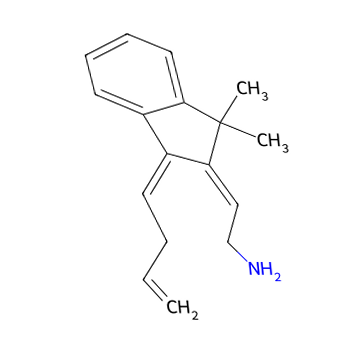 C=CC/C=C1\C(=C/CN)C(C)(C)c2ccccc21